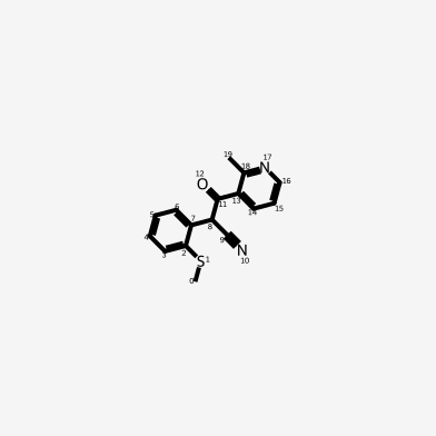 CSc1ccccc1C(C#N)C(=O)c1cccnc1C